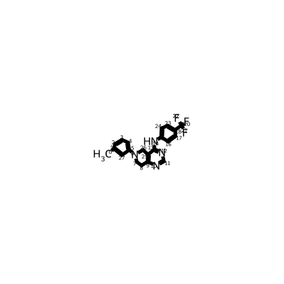 Cc1cccc(N2CCc3ncnc(Nc4ccc(C(F)(F)F)cc4)c3C2)c1